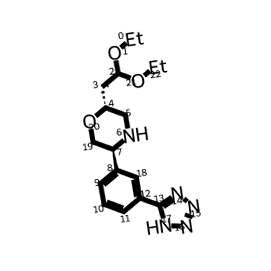 CCOC([CH][C@@H]1CN[C@@H](c2cccc(-c3nnn[nH]3)c2)CO1)OCC